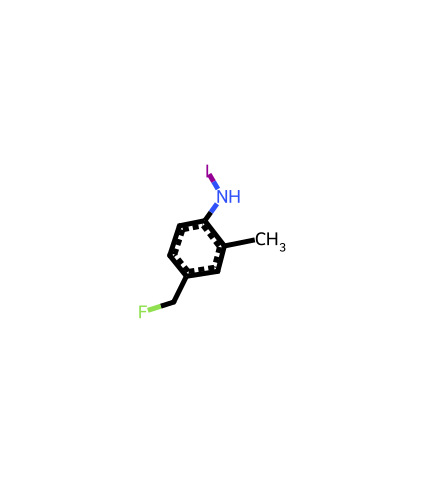 Cc1cc(CF)ccc1NI